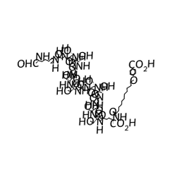 N[C@H]([C]=O)CCCCNC(=O)CNC(=O)[C@H](CO)NC(=O)[C@H](CO)NC(=O)CNC(=O)[C@H](CO)NC(=O)[C@H](CO)NC(=O)CNC(=O)[C@H](CO)NC(=O)[C@H](CO)NC(=O)CNC(=O)[C@H](CO)NC(=O)[C@H](CO)NC(=O)CC[C@H](NC(=O)CCCCCCCCCCOc1ccc(C(=O)O)cc1)C(=O)O